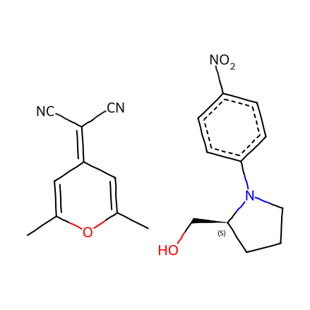 CC1=CC(=C(C#N)C#N)C=C(C)O1.O=[N+]([O-])c1ccc(N2CCC[C@H]2CO)cc1